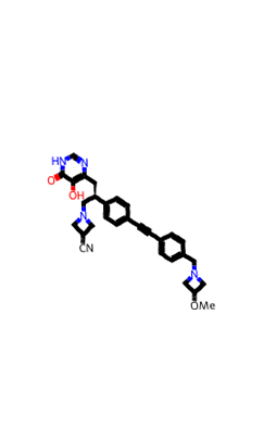 COC1CN(Cc2ccc(C#Cc3ccc([C@H](Cc4nc[nH]c(=O)c4O)CN4CC(C#N)C4)cc3)cc2)C1